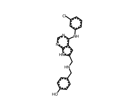 Oc1ccc(CNCc2cc3c(Nc4cccc(Cl)c4)ncnc3[nH]2)cc1